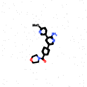 COc1ccc(-c2cc(-c3ccc(C(=O)N4CCOCC4)cc3)cnc2N)cn1